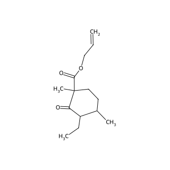 C=CCOC(=O)C1(C)CCC(C)C(CC)C1=O